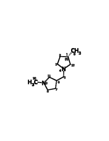 C[C@H]1CCN(CC2CCN(C)C2)C1